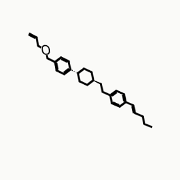 C=CCOCc1ccc([C@H]2CC[C@H](CCc3ccc(C=CCCC)cc3)CC2)cc1